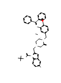 CC(C)(C)OC(=O)n1c(CN2CC(=O)N(Cc3ccc(C#N)c(N=C(c4ccccc4)c4ccccc4)c3)[C@@H](CO)C2)cc2cc(Cl)ccc21